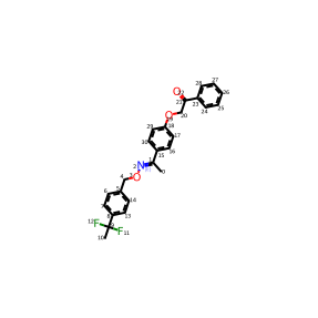 C/C(=N\OCc1ccc(C(C)(F)F)cc1)c1ccc(OCC(=O)c2ccccc2)cc1